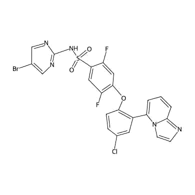 O=S(=O)(Nc1ncc(Br)cn1)c1cc(F)c(Oc2ccc(Cl)cc2-c2cccc3nccn23)cc1F